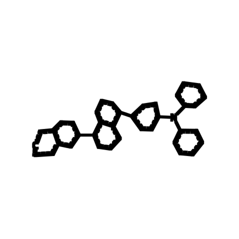 c1ccc(N(c2ccccc2)c2ccc(-c3cccc4c(-c5ccc6ccccc6c5)cccc34)cc2)cc1